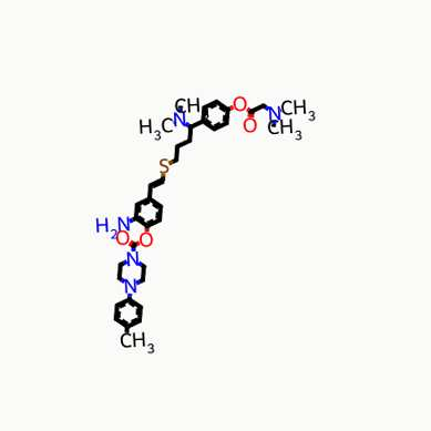 Cc1ccc(N2CCN(C(=O)Oc3ccc(/C=C/SCCCC(c4ccc(OC(=O)CN(C)C)cc4)N(C)C)cc3N)CC2)cc1